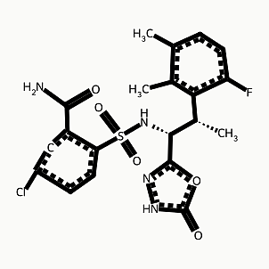 Cc1ccc(F)c([C@H](C)[C@@H](NS(=O)(=O)c2ccc(Cl)cc2C(N)=O)c2n[nH]c(=O)o2)c1C